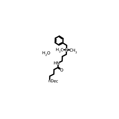 CCCCCCCCCCCCCC(=O)NCCC[N+](C)(C)Cc1ccccc1.O